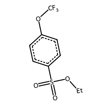 CCOS(=O)(=O)c1ccc(OC(F)(F)F)cc1